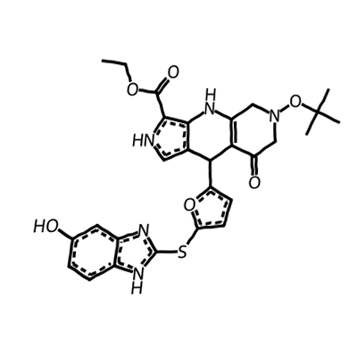 CCOC(=O)c1[nH]cc2c1NC1=C(C(=O)CN(OC(C)(C)C)C1)C2c1ccc(Sc2nc3cc(O)ccc3[nH]2)o1